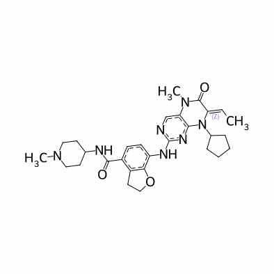 C/C=C1/C(=O)N(C)c2cnc(Nc3ccc(C(=O)NC4CCN(C)CC4)c4c3OCC4)nc2N1C1CCCC1